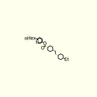 CCCCCCc1ccc(OC(=O)[C@H]2CC[C@H](CC[C@H]3CC[C@H](CC)CC3)CC2)cn1